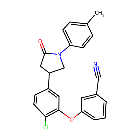 Cc1ccc(N2CC(c3ccc(Cl)c(Oc4cccc(C#N)c4)c3)CC2=O)cc1